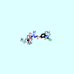 CCCC(C)(C)OC(=O)NCCOc1cc(C)c2nc(Br)sc2c1